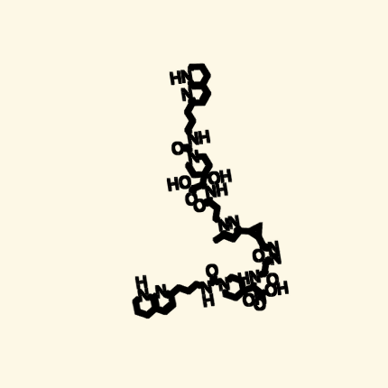 Cc1cc(C2CC2c2nnc(C(=O)NC(C(=O)O)C3(O)CCN(C(=O)NCCCc4ccc5c(n4)NCCC5)CC3)o2)nn1CCC(=O)NC(C(=O)O)C1(O)CCN(C(=O)NCCCc2ccc3c(n2)NCCC3)CC1